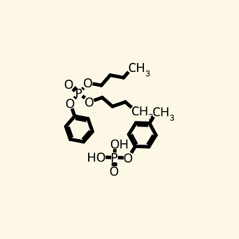 CCCCOP(=O)(OCCCC)Oc1ccccc1.Cc1ccc(OP(=O)(O)O)cc1